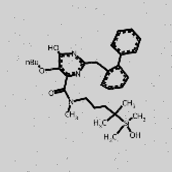 CCCCOc1c(O)nc(Cc2ccccc2-c2ccccc2)nc1C(=O)N(C)CCCC(C)(C)[Si](C)(C)O